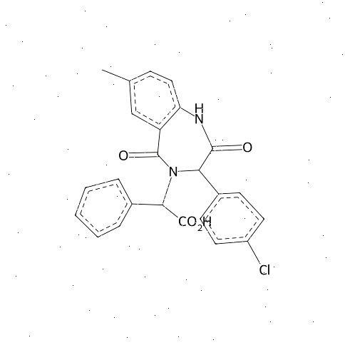 Cc1ccc2c(c1)C(=O)N(C(C(=O)O)c1ccccc1)C(c1ccc(Cl)cc1)C(=O)N2